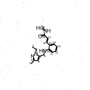 CCn1nc(C)cc1CNc1ccccc1/C=C/C(=O)NO